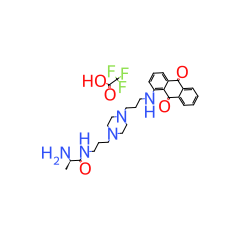 C[C@@H](N)C(=O)NCCCN1CCN(CCCNc2cccc3c2C(=O)c2ccccc2C3=O)CC1.O=C(O)C(F)(F)F